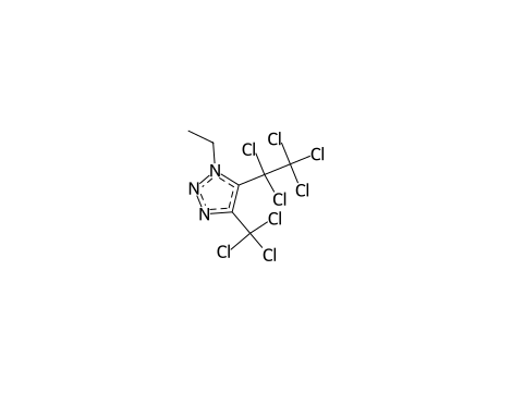 CCn1nnc(C(Cl)(Cl)Cl)c1C(Cl)(Cl)C(Cl)(Cl)Cl